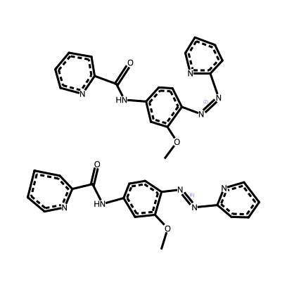 COc1cc(NC(=O)c2ccccn2)ccc1/N=N/c1ccccn1.COc1cc(NC(=O)c2ccccn2)ccc1/N=N\c1ccccn1